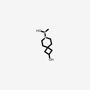 CB(O)N1CCC2(CC1)CC(O)C2